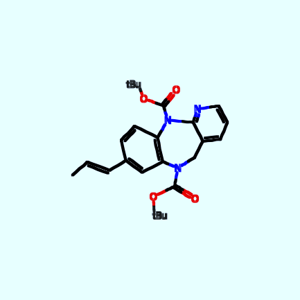 CC=Cc1ccc2c(c1)N(C(=O)OC(C)(C)C)Cc1cccnc1N2C(=O)OC(C)(C)C